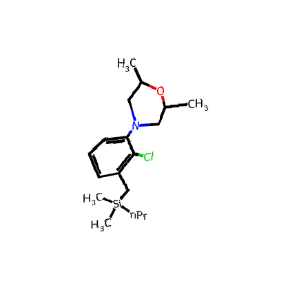 CCC[Si](C)(C)Cc1cccc(N2CC(C)OC(C)C2)c1Cl